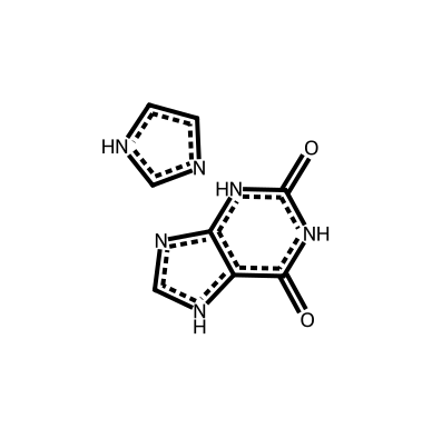 O=c1[nH]c(=O)c2[nH]cnc2[nH]1.c1c[nH]cn1